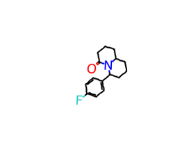 O=C1CCCC2CCCC(c3ccc(F)cc3)N12